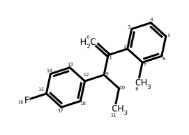 C=C(c1ccccc1C)C(CC)c1ccc(F)cc1